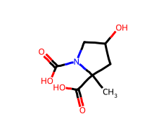 CC1(C(=O)O)CC(O)CN1C(=O)O